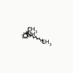 CCCCCCCCCNC1(CCC)CCCCC1